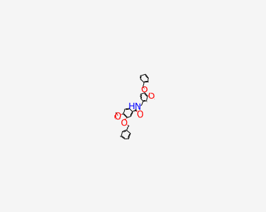 COc1cc(CNC(=O)c2ccc(OC)c(OCc3ccccc3)c2)ccc1OCc1ccccc1